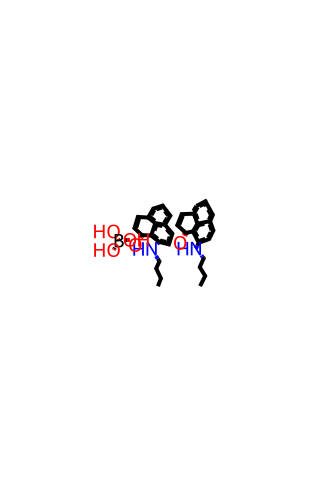 CCCCNc1ccc2cccc3c2c1C(=O)C=C3.CCCCNc1ccc2cccc3c2c1C(=O)C=C3.OB(O)O